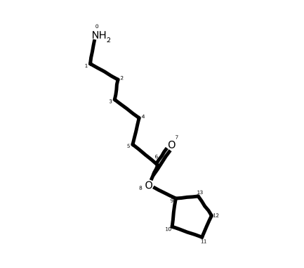 NCCCCCC(=O)OC1CCCC1